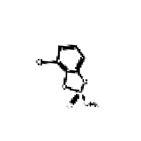 COP1(=O)Oc2cccc(Cl)c2O1